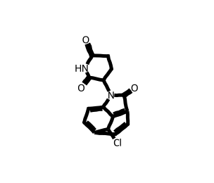 O=C1CCC(N2C(=O)C3=C4C2=CC=C(C=C3)C4Cl)C(=O)N1